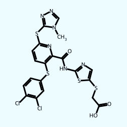 Cn1cnnc1Sc1ccc(Sc2ccc(Cl)c(Cl)c2)c(C(=O)Nc2ncc(SCC(=O)O)s2)n1